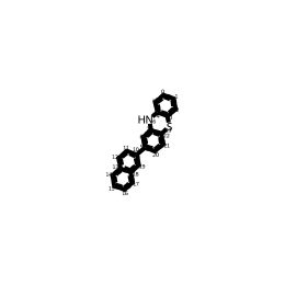 c1ccc2c(c1)Nc1cc(-c3ccc4ccccc4c3)ccc1S2